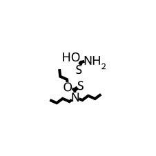 CCCCN(CCCC)C(=S)OCCC.NC(O)=S